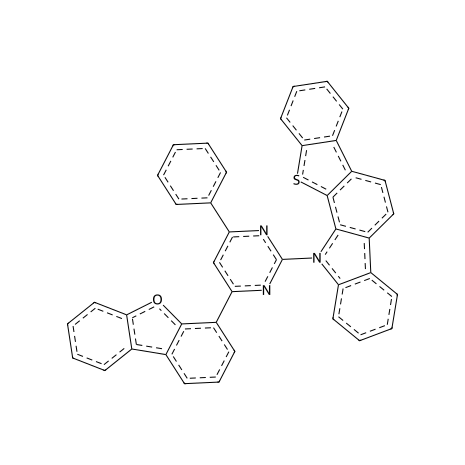 c1ccc(-c2cc(-c3cccc4c3oc3ccccc34)nc(-n3c4ccccc4c4ccc5c6ccccc6sc5c43)n2)cc1